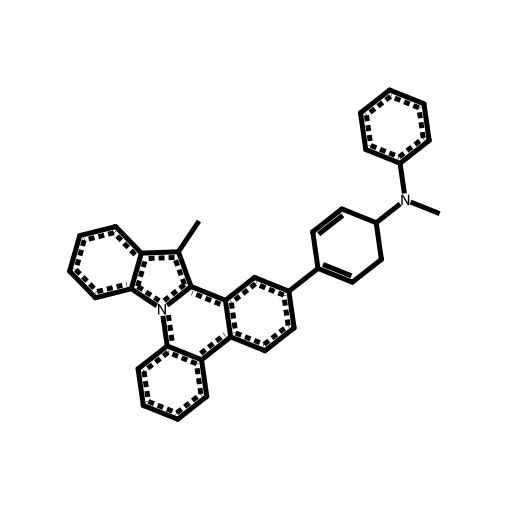 Cc1c2ccccc2n2c3ccccc3c3ccc(C4=CCC(N(C)c5ccccc5)C=C4)cc3c12